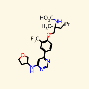 CC(C)C[C@@](C)(COc1ccc(-c2cc(NC3CCOC3)ncn2)cc1C(F)(F)F)NC(=O)O